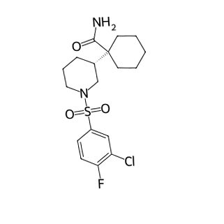 NC(=O)C1([C@H]2CCCN(S(=O)(=O)c3ccc(F)c(Cl)c3)C2)CCCCC1